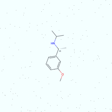 COc1cccc([C@@H](C)NC(C)C)c1